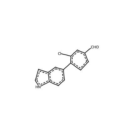 O=Cc1ccc(-c2ccc3[nH]ccc3c2)c(Cl)c1